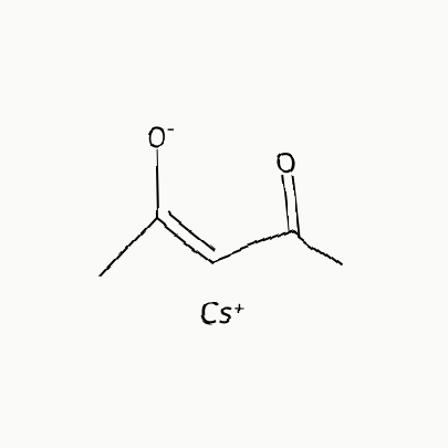 CC(=O)/C=C(/C)[O-].[Cs+]